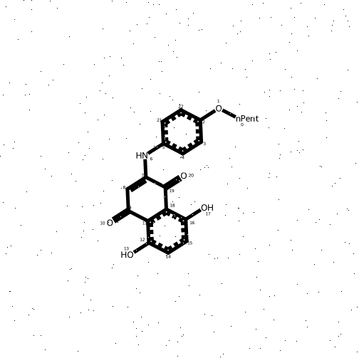 CCCCCOc1ccc(NC2=CC(=O)c3c(O)ccc(O)c3C2=O)cc1